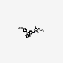 COc1ccc(N2c3ccc(/C=C4\SC(=S)N(CC(=O)O)C4=O)cc3[C@@H]3CCC[C@@H]32)cc1